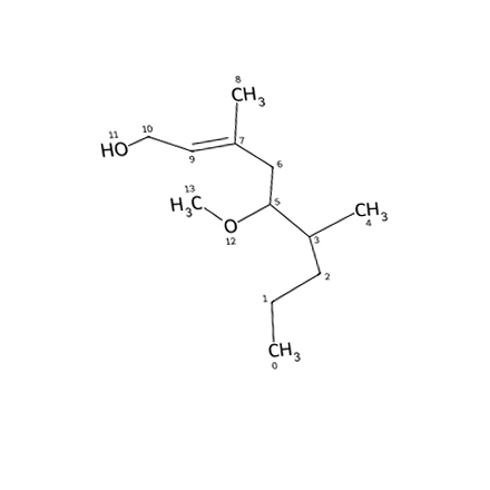 CCCC(C)C(CC(C)=CCO)OC